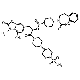 Cc1cc(CC(OC(=O)N2CCC(N3CCc4ccccc4NC3=O)CC2)C(=O)N2CCC(N3CCN(S(N)(=O)=O)CC3)CC2)cc2oc(=O)n(C)c12